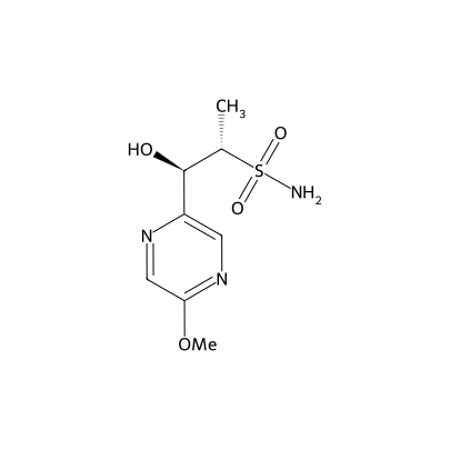 COc1cnc([C@@H](O)[C@H](C)S(N)(=O)=O)cn1